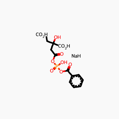 O=C(O)CC(O)(CC(=O)OP(=O)(O)OC(=O)c1ccccc1)C(=O)O.[NaH]